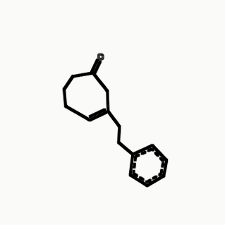 O=C1CCCC=C(CCc2ccccc2)C1